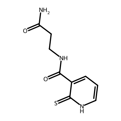 NC(=O)CCNC(=O)c1ccc[nH]c1=S